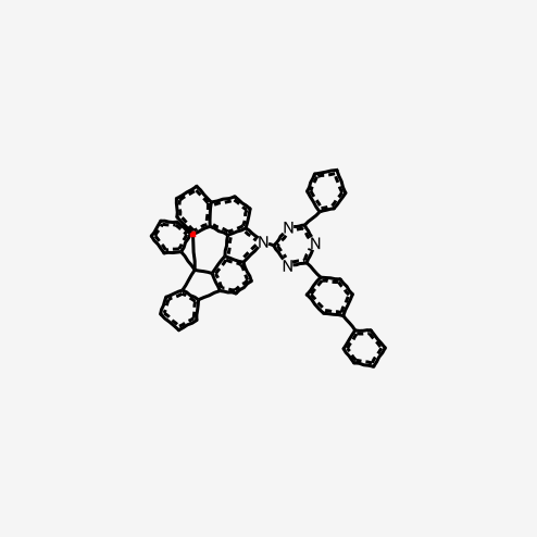 c1ccc(-c2ccc(-c3nc(-c4ccccc4)nc(-n4c5ccc6c7c5c5c8c(cccc8ccc54)C7(c4ccccc4)c4ccccc4-6)n3)cc2)cc1